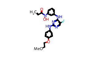 C=CC(=O)N(O)c1cccc(Nc2nc(Nc3ccc(OCCOC)cc3)ncc2F)c1